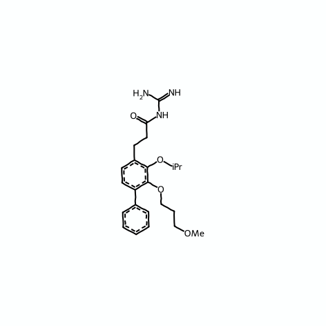 COCCCOc1c(-c2ccccc2)ccc(CCC(=O)NC(=N)N)c1OC(C)C